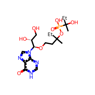 CCC(C)(CCO[C@H]([C@H](O)CO)n1cnc2c(=O)[nH]cnc21)OP(=O)(O)C(C)(O)CC